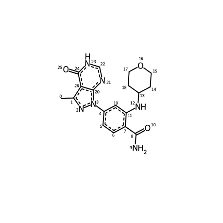 Cc1nn(-c2ccc(C(N)=O)c(NC3CCOCC3)c2)c2nc[nH]c(=O)c12